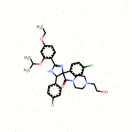 CCOc1ccc(C2=NC(C(=O)N3CCN(CCO)CC3)(c3ccc(Cl)cc3)C(c3ccc(Cl)cc3)N2)c(OC(C)C)c1